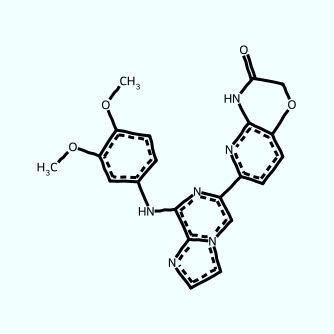 COc1ccc(Nc2nc(-c3ccc4c(n3)NC(=O)CO4)cn3ccnc23)cc1OC